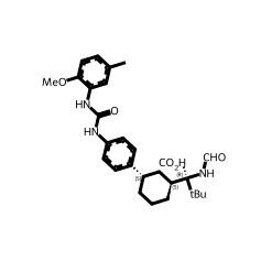 COc1ccc(C)cc1NC(=O)Nc1ccc([C@H]2CCC[C@H]([C@](NC=O)(C(=O)O)C(C)(C)C)C2)cc1